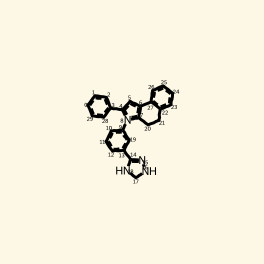 c1ccc(-c2cc3c(n2-c2cccc(C4=NNCN4)c2)CCc2ccccc2-3)cc1